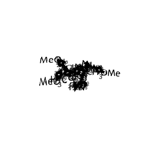 COc1ccc(CNc2ncncc2[C@@H](C)C2N=C(OC[C@@]34CCCN3C[C@]3(CC3(F)F)C4)Oc3c(F)c(-c4nc(N(Cc5ccc(OC)cc5)Cc5ccc(OC)cc5)cc(C)c4C(F)(F)F)c(Cl)c4c3=C2NCN=4)cc1